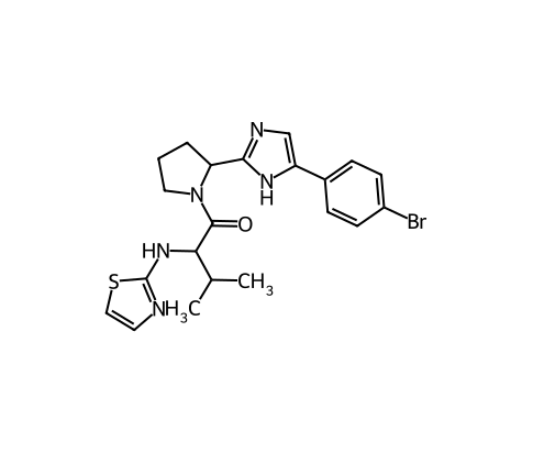 CC(C)C(Nc1nccs1)C(=O)N1CCCC1c1ncc(-c2ccc(Br)cc2)[nH]1